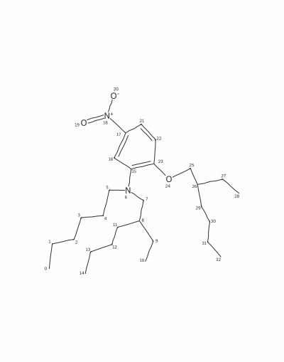 CCCCCCN(CC(CC)CCCC)c1cc([N+](=O)[O-])ccc1OCC(CC)CCCC